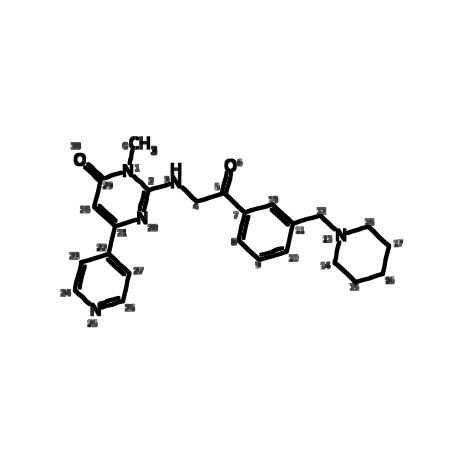 Cn1c(NCC(=O)c2cccc(CN3CCCCC3)c2)nc(-c2ccncc2)cc1=O